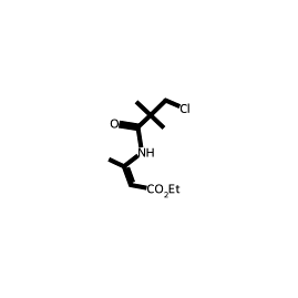 CCOC(=O)/C=C(/C)NC(=O)C(C)(C)CCl